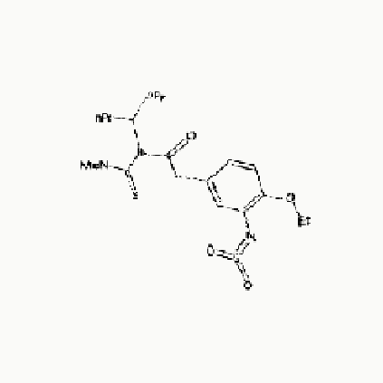 CCCC(CCC)N(C(=O)Cc1ccc(OCC)c(N=S(=O)=O)c1)C(=S)NC